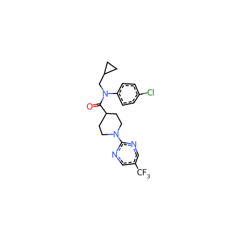 O=C(C1CCN(c2ncc(C(F)(F)F)cn2)CC1)N(CC1CC1)c1ccc(Cl)cc1